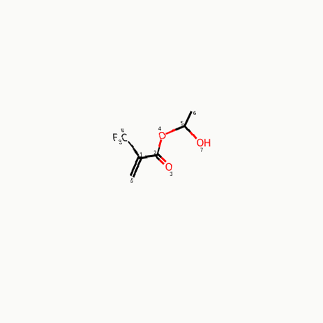 C=C(C(=O)OC(C)O)C(F)(F)F